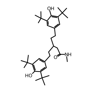 CNC(=O)CC(CCc1cc(C(C)(C)C)c(O)c(C(C)(C)C)c1)CCc1cc(C(C)(C)C)c(O)c(C(C)(C)C)c1